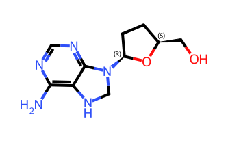 Nc1ncnc2c1NCN2[C@H]1CC[C@@H](CO)O1